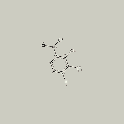 FC(F)(F)c1c(Cl)ccc(N(Cl)Cl)c1Cl